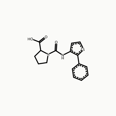 O=C(O)C1CCCN1C(=O)Nc1ccsc1-c1ccccc1